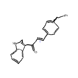 CC(C)Cc1ccc(/C=C/C(=O)c2c[nH]c3ccccc23)cc1